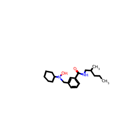 CCCC(C)CNC(=O)c1cccc(CN(O)C2CCCCC2)c1